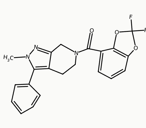 Cn1nc2c(c1-c1ccccc1)CCN(C(=O)c1cccc3c1OC(F)(F)O3)C2